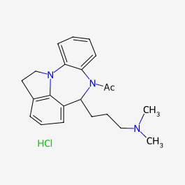 CC(=O)N1c2ccccc2N2CCc3cccc(c32)C1CCCN(C)C.Cl